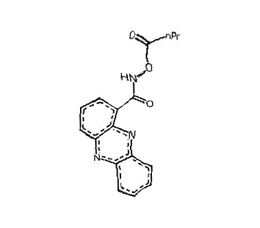 CCCC(=O)ONC(=O)c1cccc2nc3ccccc3nc12